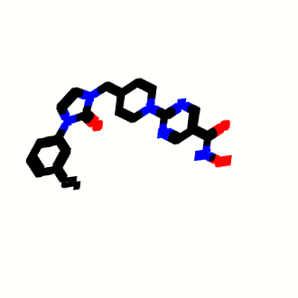 Cc1cccc(-n2ccn(CC3CCN(c4ncc(C(=O)NO)cn4)CC3)c2=O)c1